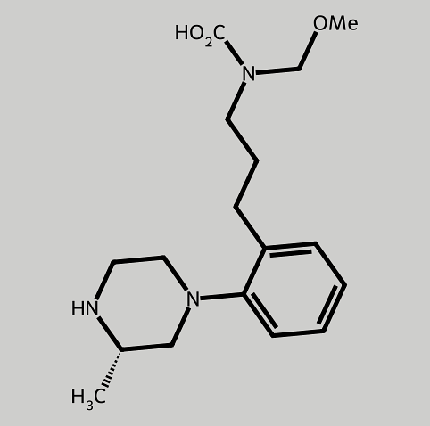 COCN(CCCc1ccccc1N1CCN[C@@H](C)C1)C(=O)O